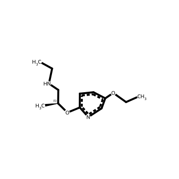 CCNC[C@H](C)Oc1ccc(OCC)cn1